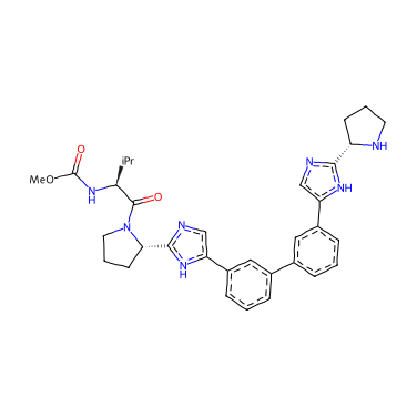 COC(=O)N[C@H](C(=O)N1CCC[C@H]1c1ncc(-c2cccc(-c3cccc(-c4cnc([C@@H]5CCCN5)[nH]4)c3)c2)[nH]1)C(C)C